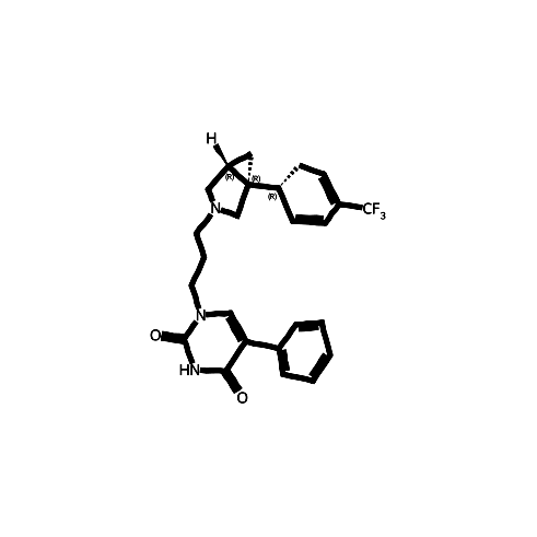 O=c1[nH]c(=O)n(CCCN2C[C@@H]3C[C@]3([C@H]3C=CC(C(F)(F)F)=CC3)C2)cc1-c1ccccc1